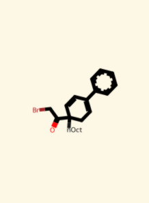 CCCCCCCCC1(C(=O)CBr)C=CC(c2ccccc2)=CC1